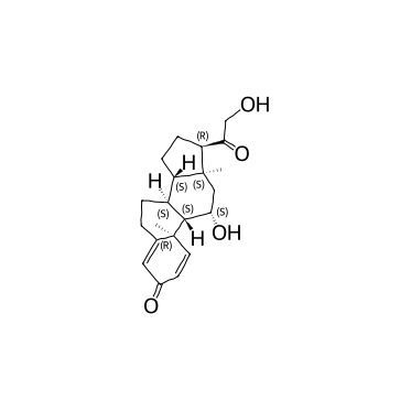 C[C@]12C[C@H](O)[C@H]3[C@@H](CCC4=CC(=O)C=C[C@@]43C)[C@@H]1CC[C@H]2C(=O)CO